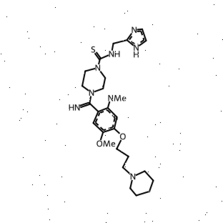 CNc1cc(OCCCN2CCCCC2)c(OC)cc1C(=N)N1CCN(C(=S)NCc2ncc[nH]2)CC1